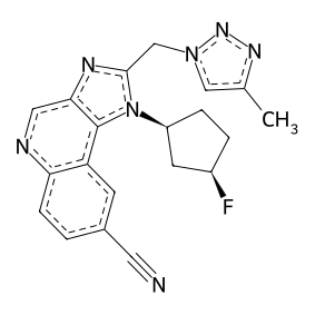 Cc1cn(Cc2nc3cnc4ccc(C#N)cc4c3n2[C@H]2CC[C@@H](F)C2)nn1